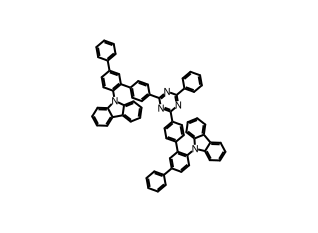 c1ccc(-c2ccc(-n3c4ccccc4c4ccccc43)c(-c3ccc(-c4nc(-c5ccccc5)nc(-c5ccc(-c6cc(-c7ccccc7)ccc6-n6c7ccccc7c7ccccc76)cc5)n4)cc3)c2)cc1